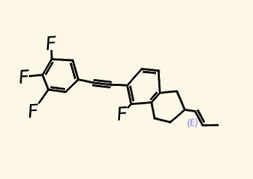 C/C=C/C1CCc2c(ccc(C#Cc3cc(F)c(F)c(F)c3)c2F)C1